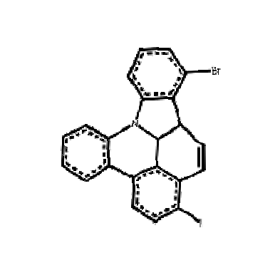 Brc1cccc2c1C1C=Cc3c(I)ccc4c3C1N2c1ccccc1-4